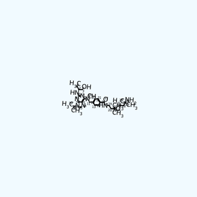 CCC(CO)Nc1nc(N(C)Cc2ccc(C(=O)NCCC(C)(C)OCCC(C)(C)N)cc2)c2ncn(C(C)C)c2n1